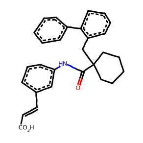 O=C(O)/C=C/c1cccc(NC(=O)C2(Cc3ccccc3-c3ccccc3)CCCCC2)c1